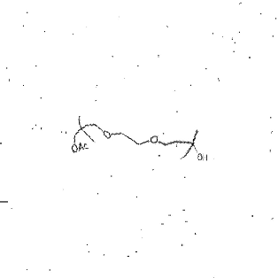 CC(=O)OCC(C)(C)COCCOCCC(C)(C)O